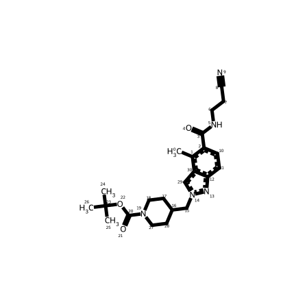 Cc1c(C(=O)NCCC#N)ccc2nn(CC3CCN(C(=O)OC(C)(C)C)CC3)cc12